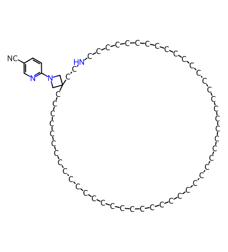 N#Cc1ccc(N2CC3(CCCCCCCCCCCCCCCCCCCCCCCCCCCCCCCCCCCCCCCCCCCCCCCCNCC3)C2)nc1